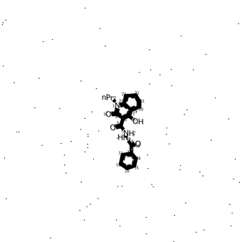 CCCn1c(=O)c(C(=O)NNC(=O)c2ccccc2)c(O)c2ccccc21